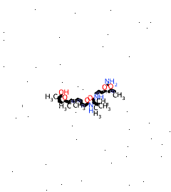 C/C=C\C[C@@H](C/C=C\NC(=O)[C@@H](NC(=O)\C=C/C=C\C(C)=C\[C@H](C)[C@@H]1CC=C(C)[C@H](O)O1)C(C)(C)C)OC(N)=O